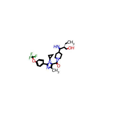 CC[C@H](CO)C(=N)C1CCN(C(=O)c2c(C)nc(-c3ccc(OC(F)(F)F)cc3)n2C2CC2)CC1